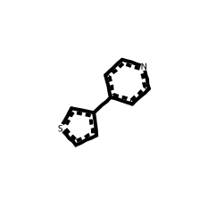 [c]1cc(-c2ccncc2)cs1